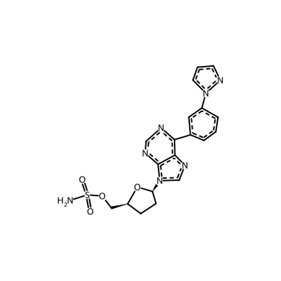 NS(=O)(=O)OC[C@@H]1CC[C@H](n2cnc3c(-c4cccc(-n5cccn5)c4)ncnc32)O1